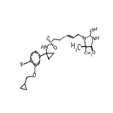 CC1(C)C(=O)NC(O)N1C/C=C/CCS(=O)(=O)NC1(c2ccc(F)c(OCC3CC3)c2)CC1